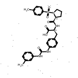 Cc1ccc(S(=O)(=O)N2CCC[C@H]2C(=O)N[C@@H](Cc2ccc(NC(=O)Nc3cccc(C)c3)cc2)C(=O)O)cc1